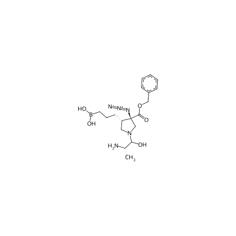 C[C@H](N)C(O)N1C[C@H](CCCB(O)O)[C@](N=[N+]=[N-])(C(=O)OCc2ccccc2)C1